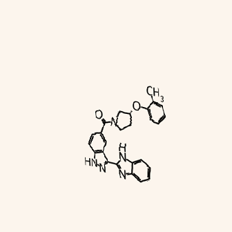 Cc1ccccc1O[C@@H]1CCN(C(=O)c2ccc3[nH]nc(-c4nc5ccccc5[nH]4)c3c2)C1